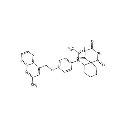 Cc1cc(COc2ccc(N(C(=O)C(F)(F)F)C3CCCCC34C(=O)NC(=O)NC4=O)cc2)c2ccccc2n1